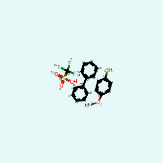 CC(C)(C)Oc1ccc(S)cc1.O=S(=O)(O)C(F)(F)F.c1ccc(-c2ccccc2)cc1